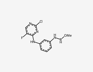 COBNc1cccc(Nc2nc(Cl)ncc2F)c1